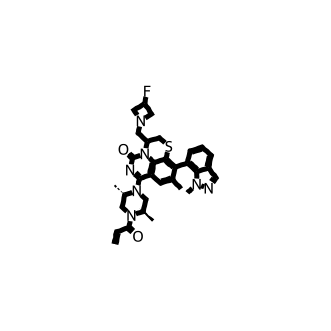 C=CC(=O)N1C[C@H](C)N(c2nc(=O)n3c4c(c(-c5cccc6cnn(C)c56)c(C)cc24)SCC3CN2CC(F)C2)C[C@H]1C